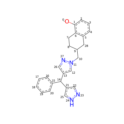 [O]c1cccc2c1CCC(Cn1cc(C(c3ccccc3)c3cn[nH]c3)cn1)C2